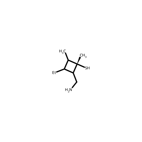 CCC1C(C)[C@](C)(S)C1CN